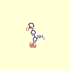 CC(C)(C)OC(=O)N1C[C@H](N)[C@@H](N2CCC(N3CCCCC3=O)CC2)C1